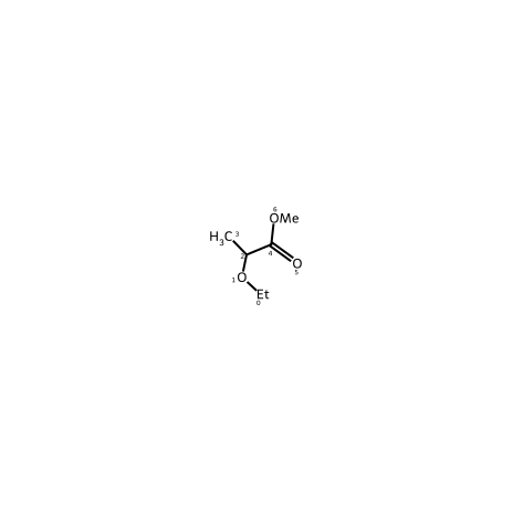 CCOC(C)C(=O)OC